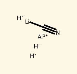 [Al+3].[H-].[H-].[H-].[Li][C]#N